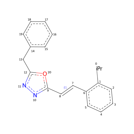 CC(C)c1ccccc1/C=C/c1nnc(Cc2ccccc2)o1